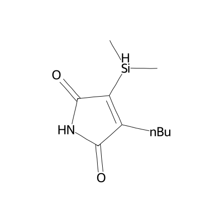 CCCCC1=C([SiH](C)C)C(=O)NC1=O